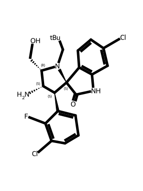 CC(C)(C)CN1[C@@H](CO)[C@@H](N)[C@H](c2cccc(Cl)c2F)[C@]12C(=O)Nc1cc(Cl)ccc12